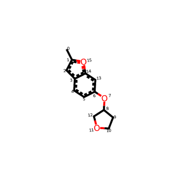 Cc1cc2ccc(OC3CCOC3)cc2o1